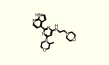 CC1COCCN1c1cc(NCCN2CCOCC2)nc(-c2ccnc3[nH]ccc23)n1